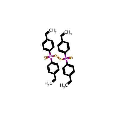 C=Cc1ccc(P(=S)(SSP(=S)(c2ccc(C=C)cc2)c2ccc(C=C)cc2)c2ccc(C=C)cc2)cc1